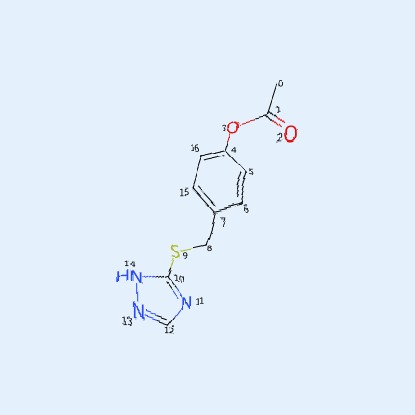 CC(=O)Oc1ccc(CSc2n[c]n[nH]2)cc1